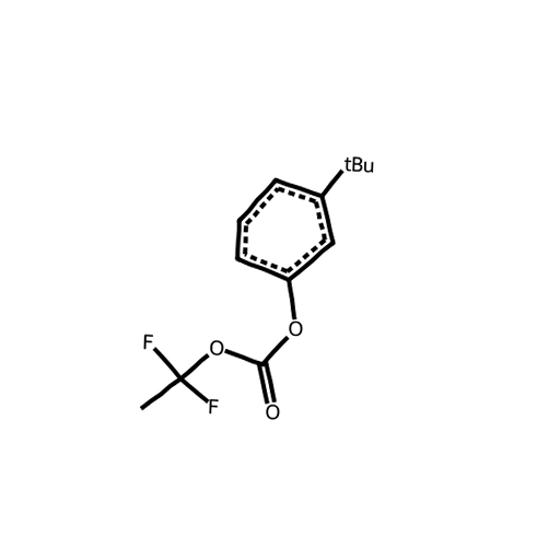 CC(F)(F)OC(=O)Oc1cccc(C(C)(C)C)c1